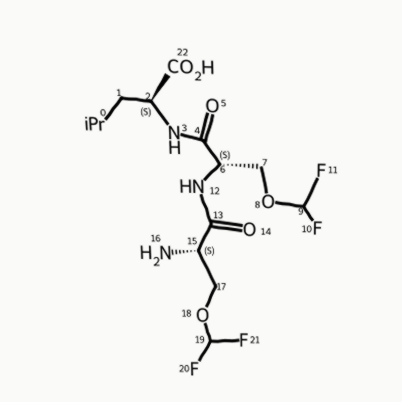 CC(C)C[C@H](NC(=O)[C@H](COC(F)F)NC(=O)[C@@H](N)COC(F)F)C(=O)O